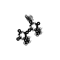 O=S(=O)([O-])c1cc2c3nc4nc(nc5[n-]c(nc6nc(nc([n-]3)c2c(S(=O)(=O)[O-])c1S(=O)(=O)[O-])-c1ccccc1-6)c1ccccc51)-c1ccccc1-4.O=S(=O)([O-])c1cc2c3nc4nc(nc5[n-]c(nc6nc(nc([n-]3)c2c(S(=O)(=O)[O-])c1S(=O)(=O)[O-])-c1ccccc1-6)c1ccccc51)-c1ccccc1-4.[Cu+2].[Cu+2].[Cu+2].[Na+].[Na+].[Na+].[Na+]